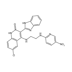 O=c1[nH]c2ccc(Cl)cc2c(NCCNc2ccc([N+](=O)[O-])cn2)c1-c1nc2ccccc2[nH]1